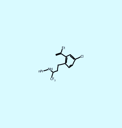 C=C(CC)c1cc(Cl)ccc1CCC(NCCC)C(F)(F)F